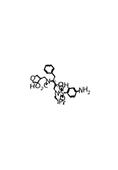 CC(C)CN(C[C@@H](O)[C@H](Cc1ccccc1)N(CC1CCOC1)C(=O)O)S(=O)(=O)c1ccc(N)cc1